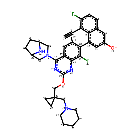 C#Cc1c(F)ccc2cc(O)cc(-c3c(C)cc4c(N5CC6CCC(C5)N6)nc(OCC5(CN6CCCCC6)CC5)nc4c3F)c12